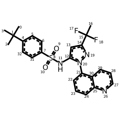 CC(C)(C)c1ccc(S(=O)(=O)Nc2cc(C(C)(F)F)nn2-c2cccc3ncccc23)cc1